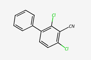 N#Cc1c(Cl)ccc(-c2ccccc2)c1Cl